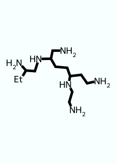 CCC(N)CNC(CN)CCC(CCN)NCCN